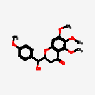 COc1ccc(C(O)C2CC(=O)c3c(cc(OC)c(OC)c3OC)O2)cc1